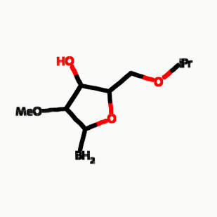 BC1OC(COC(C)C)C(O)C1OC